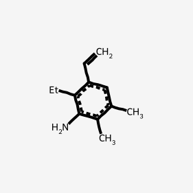 C=Cc1cc(C)c(C)c(N)c1CC